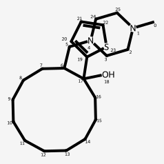 CN1CCN(CC2CCCCCCCCCCC2(O)c2cccs2)CC1